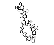 CNC(=O)COc1cc2cc(Nc3nc(N4CCC(OC5CC(N6CCC(c7ccc8c(c7F)[C@@H](C)N([C@@H]7CCC(=O)NC7=O)C8=O)CC6)C5)CC4)ncc3Cl)ccc2n(C(C)C)c1=O